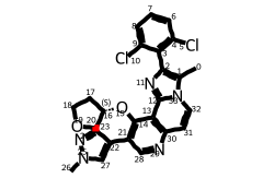 Cc1c(-c2c(Cl)cccc2Cl)nc2c3c(O[C@H]4CCOC4)c(-c4cnn(C)c4)cnc3ccn12